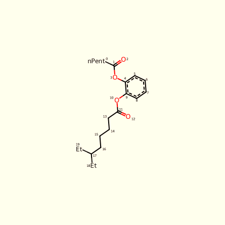 CCCCCC(=O)Oc1ccccc1OC(=O)CCCCC(CC)CC